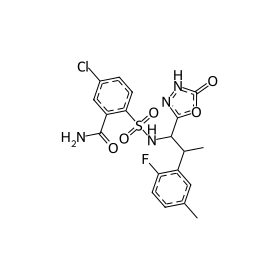 Cc1ccc(F)c(C(C)C(NS(=O)(=O)c2ccc(Cl)cc2C(N)=O)c2n[nH]c(=O)o2)c1